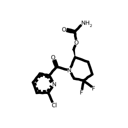 NC(=O)OC[C@H]1CCC(F)(F)CN1C(=O)c1cccc(Cl)n1